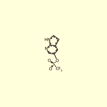 O=S(=O)(Oc1cnc2[nH]ccc2c1)C(F)(F)F